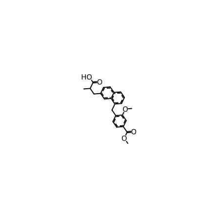 COC(=O)c1ccc(Cc2cccc3ccc(CC(C)C(=O)O)cc23)c(OC)c1